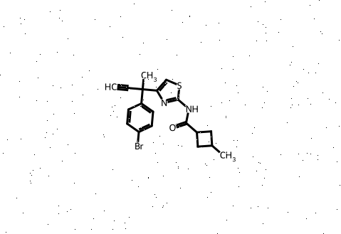 C#CC(C)(c1ccc(Br)cc1)c1csc(NC(=O)C2CC(C)C2)n1